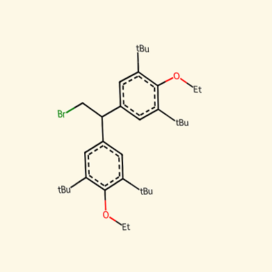 CCOc1c(C(C)(C)C)cc(C(CBr)c2cc(C(C)(C)C)c(OCC)c(C(C)(C)C)c2)cc1C(C)(C)C